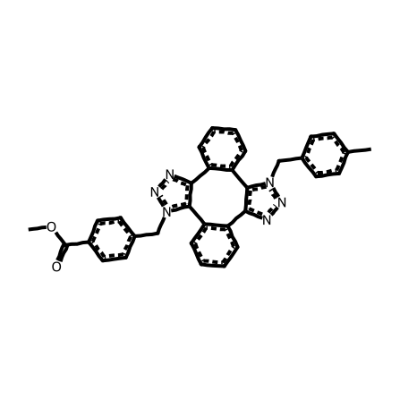 COC(=O)c1ccc(Cn2nnc3c2-c2ccccc2-c2nnn(Cc4ccc(C)cc4)c2-c2ccccc2-3)cc1